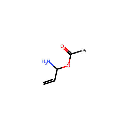 C=CC(N)OC(=O)C(C)C